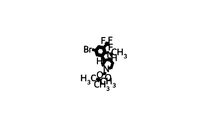 CN1c2c(cc(Br)cc2C(F)(F)F)[C@@H]2CN(C(=O)OC(C)(C)C)CC[C@@H]21